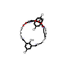 Oc1c2cc(Cl)cc1/C=N/CCN1CC/N=C/c3cc(Cl)cc(c3O)/C=N/CCN(CC/N=C/2)CC/N=C/c2cc(Cl)cc(c2O)/C=N/CC1